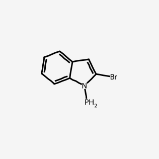 Pn1c(Br)cc2ccccc21